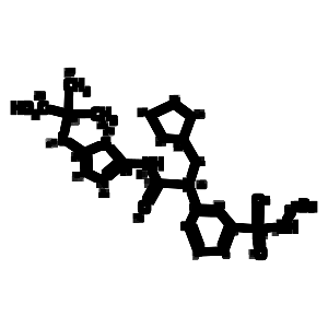 CCCCNS(=O)(=O)c1cccc(N(CC2CCCC2)C(=O)Nc2ncc(SC(C)(C)C(=O)O)s2)c1